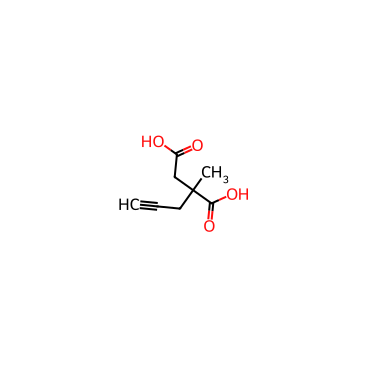 C#CCC(C)(CC(=O)O)C(=O)O